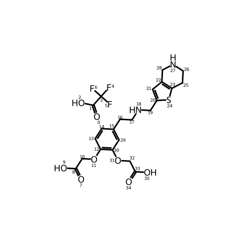 O=C(O)C(F)(F)F.O=C(O)COc1ccc(CCNCc2cc3c(s2)CCNC3)cc1OCC(=O)O